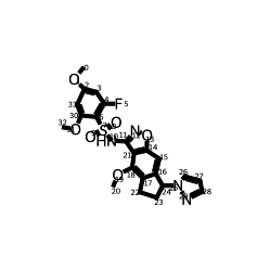 COc1cc(F)c(S(=O)(=O)Nc2noc3cc4c(c(OC)c23)CCC4n2cccn2)c(OC)c1